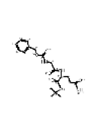 CC(C)(C)OC(=O)[C@H](CCC(N)=O)NC(=O)CNC(=O)OCc1ccccc1